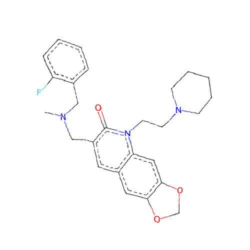 CN(Cc1ccccc1F)Cc1cc2cc3c(cc2n(CCN2CCCCC2)c1=O)OCO3